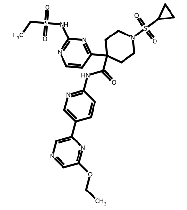 CCOc1cncc(-c2ccc(NC(=O)C3(c4ccnc(NS(=O)(=O)CC)n4)CCN(S(=O)(=O)C4CC4)CC3)nc2)n1